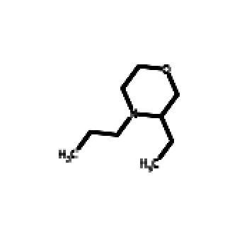 CCCN1CCOCC1CC